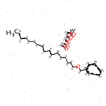 CCCCCCCCCCCCCCCCO[C]c1ccccc1.[C]=O.[C]=O.[C]=O.[C]=O.[C]=O.[W]